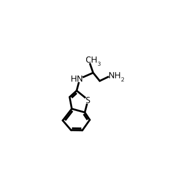 CC(CN)Nc1cc2ccccc2s1